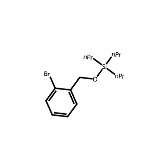 CCC[Si](CCC)(CCC)OCc1ccccc1Br